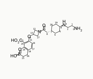 NCCN[C@H]1CC[C@H](CC(=O)N2CC(Oc3ccc4c(c3C(=O)O)OB(O)CC4)C2)CC1